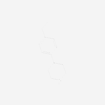 CC(C)Cc1ccc(C2CCNCC2)cc1